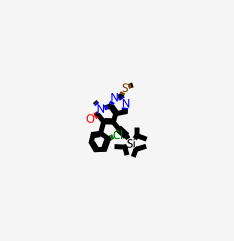 CSc1ncc2c(C#C[Si](C(C)C)(C(C)C)C(C)C)c(-c3ccccc3Cl)c(=O)n(C)c2n1